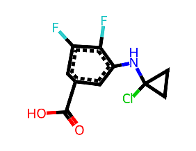 O=C(O)c1cc(F)c(F)c(NC2(Cl)CC2)c1